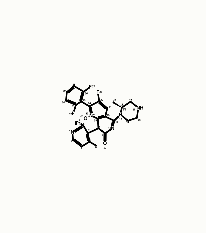 Cc1ccnc(C(C)C)c1C1C(=O)N=C(N2CCNC[C@@H]2C)c2cc(F)c(-c3c(F)cccc3F)[n+]([O-])c21